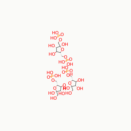 O=P(O)(O)OC[C@H]1O[C@](O)(CO)[C@@H](O)[C@@H]1O.O=P(O)(O)OC[C@H]1O[C@](O)(CO)[C@@H](O)[C@@H]1O.O=P(O)(O)OC[C@H]1O[C@](O)(COP(=O)(O)O)[C@@H](O)[C@@H]1O